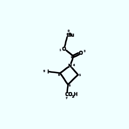 CC(C)(C)OC(=O)N1CC(C(=O)O)C1I